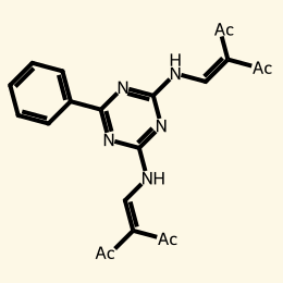 CC(=O)C(=CNc1nc(NC=C(C(C)=O)C(C)=O)nc(-c2ccccc2)n1)C(C)=O